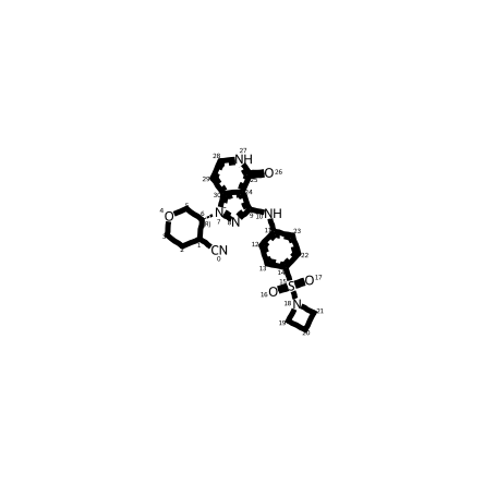 N#CC1CCOC[C@@H]1n1nc(Nc2ccc(S(=O)(=O)N3CCC3)cc2)c2c(=O)[nH]ccc21